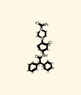 CC(C)C(=O)N1CCN(c2ccc(NC(=O)C(c3ccccc3)c3ccccc3)cc2Cl)CC1